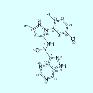 Cc1cc(NC(=O)c2n[nH]c3cncnc23)n(-c2cc(Cl)ccc2C)n1